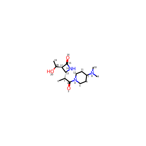 CC(C(=O)N1CCC(N(C)C)CC1)[C@H]1NC(=O)[C@@H]1C(C)O